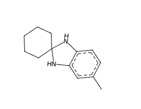 Cc1ccc2c(c1)NC1(CCCCC1)N2